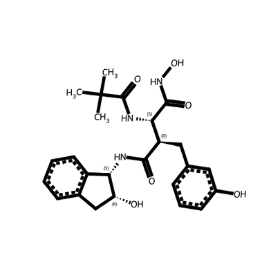 CC(C)(C)C(=O)N[C@H](C(=O)NO)[C@@H](Cc1cccc(O)c1)C(=O)N[C@H]1c2ccccc2C[C@H]1O